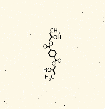 CCC(O)COC(=O)[C@H]1CC[C@@H](C(=O)OCC(O)CC)CC1